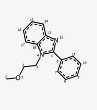 COCCn1c(-c2ccccc2)nc2ccccc21